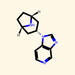 c1cc2c(cn1)ncn2[C@H]1C[C@H]2CC[C@@H](C1)N2